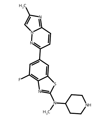 Cc1cn2nc(-c3cc(F)c4nc(N(C)C5CCNCC5)sc4c3)ccc2n1